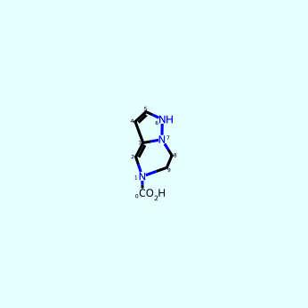 O=C(O)N1C=C2C=CNN2CC1